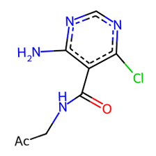 CC(=O)CNC(=O)c1c(N)ncnc1Cl